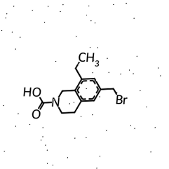 CCc1cc(CBr)cc2c1CN(C(=O)O)CC2